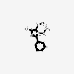 COc1c(C)nc(-c2ccccc2)n1OC